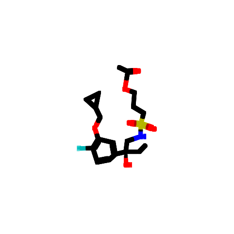 CC[C@@](O)(CNS(=O)(=O)CCCOC(C)=O)c1ccc(F)c(OCC2CC2)c1